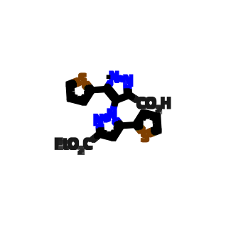 CCOC(=O)c1cc(-c2cccs2)n(C2=C(c3cccs3)[N]N=C2C(=O)O)n1